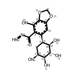 N=NC(=O)c1c([C@@H]2C[C@H](N=O)[C@H](O)[C@@H](O)[C@@H]2O)cc2c(c1N=O)OCO2